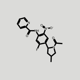 CC(=O)N1CC(C)CC1c1cc([N+](=O)[O-])c(NC(=O)c2ccccn2)cc1F